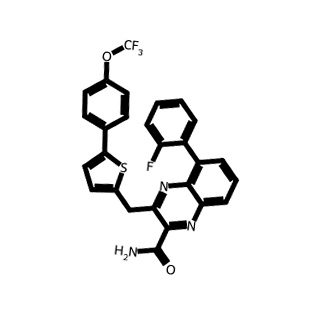 NC(=O)c1nc2cccc(-c3ccccc3F)c2nc1Cc1ccc(-c2ccc(OC(F)(F)F)cc2)s1